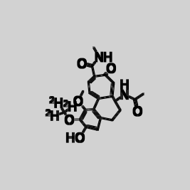 [2H]C([2H])([2H])Oc1c(O)cc2c(c1OC)-c1ccc(C(=O)NC)c(=O)cc1C(NC(C)=O)CC2